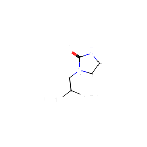 CCCCCCCC(CCCCCCC)CN1CCNC1=O